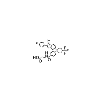 O=C(O)CCNC(=O)c1ccc(C2(c3ccc4[nH]c(-c5ccc(F)cc5)cc4c3)CCC(C(F)(F)F)CC2)cc1